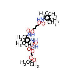 C=C(C)C(=O)OCCOC(=O)NOC(=O)NC1CC(C)(C)CC(C)(CNC(=O)OCCCCOC(=O)NC2CC(C)(C)CC(C)(C)C2)C1